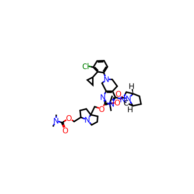 CN(C)C(=O)OCC1CCC2(COc3nc4c(c(N5C[C@H]6CC[C@@H](C5)N6C(=O)OC(C)(C)C)n3)CCN(c3cccc(Cl)c3C3CC3)C4)CCCN12